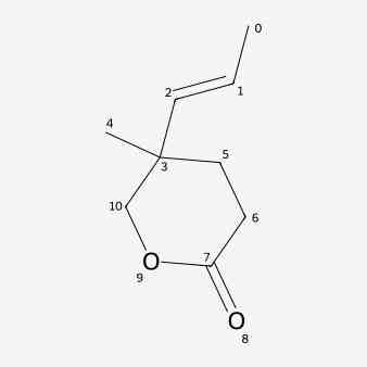 CC=CC1(C)CCC(=O)OC1